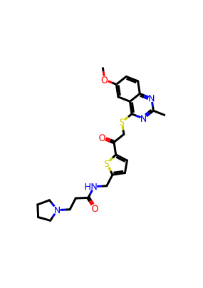 COc1ccc2nc(C)nc(SCC(=O)c3ccc(CNC(=O)CCN4CCCC4)s3)c2c1